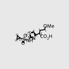 COCCC(C(=O)O)c1csc(NS(=O)(=O)C2CC2)n1